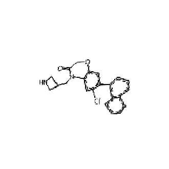 O=C1COc2cc(-c3cccc4ccccc34)c(Cl)cc2N1CC1CNC1